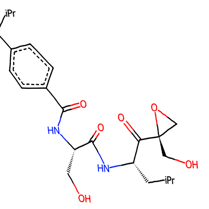 CC(C)Cc1ccc(C(=O)N[C@@H](CO)C(=O)N[C@@H](CC(C)C)C(=O)[C@@]2(CO)CO2)cc1